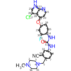 CN1CCN(Cc2ccc(NC(=O)Nc3ccc(Oc4ccnc5[nH]cc(Cl)c45)cc3F)cc2C#N)CC1